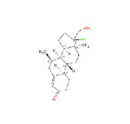 C[C@@H]1CC2=CC(=O)CC[C@@H]2[C@H]2CC[C@@]3(C)[C@H](CC[C@]3(F)CO)[C@@H]21